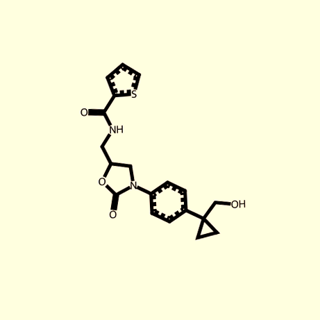 O=C(NCC1CN(c2ccc(C3(CO)CC3)cc2)C(=O)O1)c1cccs1